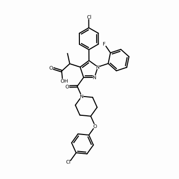 CC(C(=O)O)c1c(C(=O)N2CCC(Oc3ccc(Cl)cc3)CC2)nn(-c2ccccc2F)c1-c1ccc(Cl)cc1